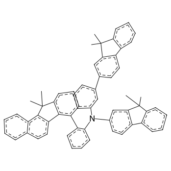 CC1(C)c2ccccc2-c2ccc(-c3cccc(N(c4ccc5c(c4)C(C)(C)c4ccccc4-5)c4ccccc4-c4cccc5c4-c4ccc6ccccc6c4C5(C)C)c3)cc21